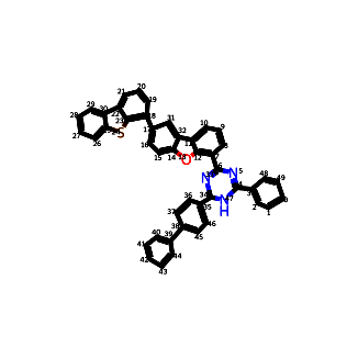 c1ccc(C2=NC(c3cccc4c3oc3ccc(-c5cccc6c5sc5ccccc56)cc34)=NC(c3ccc(-c4ccccc4)cc3)N2)cc1